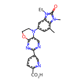 CCn1c(=O)n(C)c2c(C)cc(N3CCOc4nc(-c5ccc(C(=O)O)nc5)ncc43)cc21